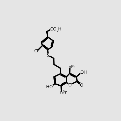 CCCc1c(O)cc(CCCSc2ccc(CC(=O)O)cc2Cl)c2c(CCC)c(O)c(=O)oc12